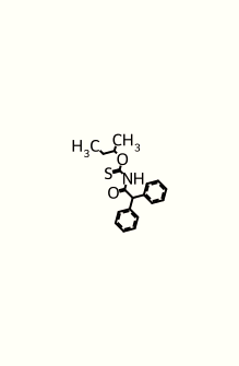 CCC(C)OC(=S)NC(=O)C(c1ccccc1)c1ccccc1